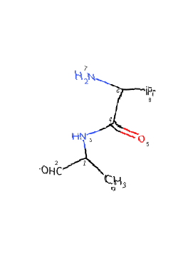 CC([C]=O)NC(=O)C(N)C(C)C